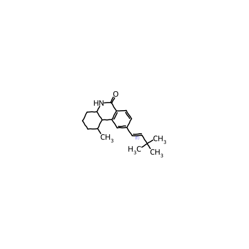 CC1CCCC2NC(=O)c3ccc(/C=C/C(C)(C)C)cc3C12